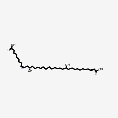 O=C(O)C=CCCCCCCCCC(O)CCCCCCCCCCCC[C@@H](O)C/C=C\CCCCCCCC(=O)O